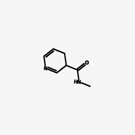 CNC(=O)C1C=NC=CC1